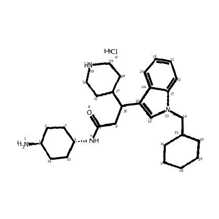 Cl.N[C@H]1CC[C@H](NC(=O)CC(c2cn(CC3CCCCC3)c3ccccc23)C2CCNCC2)CC1